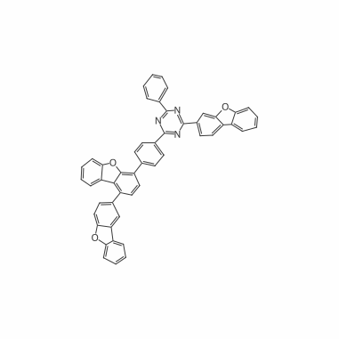 c1ccc(-c2nc(-c3ccc(-c4ccc(-c5ccc6oc7ccccc7c6c5)c5c4oc4ccccc45)cc3)nc(-c3ccc4c(c3)oc3ccccc34)n2)cc1